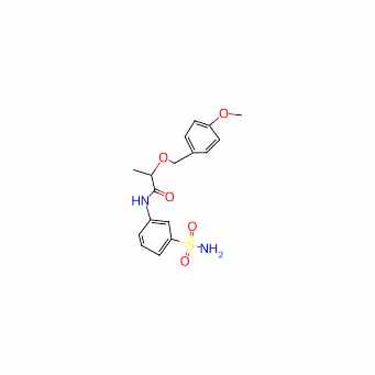 COc1ccc(COC(C)C(=O)Nc2cccc(S(N)(=O)=O)c2)cc1